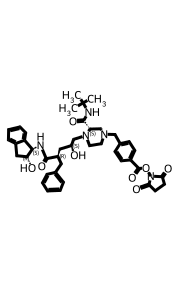 CC(C)(C)NC(=O)[C@@H]1CN(Cc2ccc(C(=O)ON3C(=O)CCC3=O)cc2)CCN1C[C@@H](O)C[C@@H](Cc1ccccc1)C(=O)N[C@H]1c2ccccc2C[C@H]1O